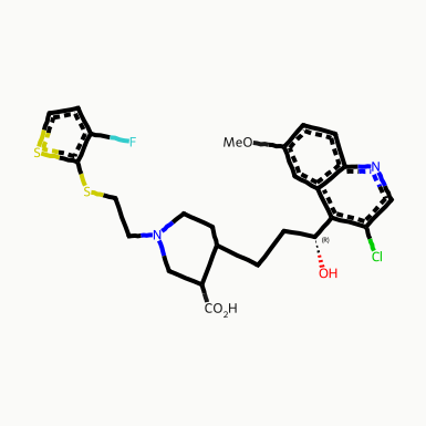 COc1ccc2ncc(Cl)c([C@H](O)CCC3CCN(CCSc4sccc4F)CC3C(=O)O)c2c1